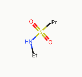 CCNS(=O)(=O)C(C)C